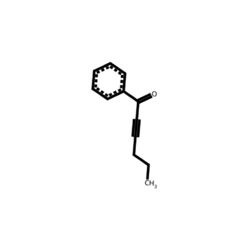 CCCC#CC(=O)c1ccccc1